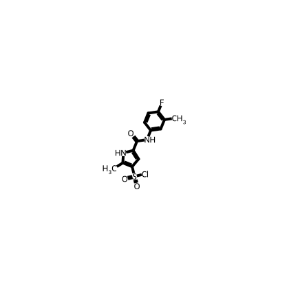 Cc1cc(NC(=O)c2cc(S(=O)(=O)Cl)c(C)[nH]2)ccc1F